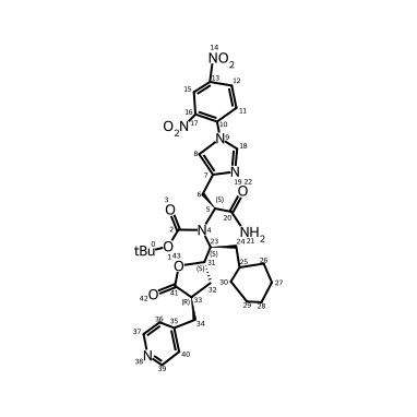 CC(C)(C)OC(=O)N([C@@H](Cc1cn(-c2ccc([N+](=O)[O-])cc2[N+](=O)[O-])cn1)C(N)=O)[C@@H](CC1CCCCC1)[C@@H]1C[C@@H](Cc2ccncc2)C(=O)O1